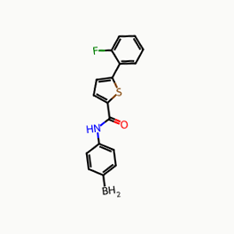 Bc1ccc(NC(=O)c2ccc(-c3ccccc3F)s2)cc1